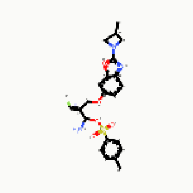 Cc1ccc(S(=O)(=O)OC(N)/C(=C/F)COc2ccc3nc(N4CC(C)C4)oc3c2)cc1